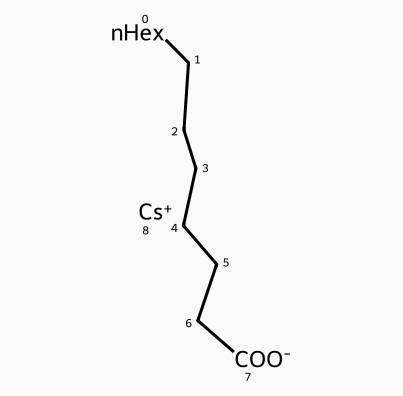 CCCCCCCCCCCCC(=O)[O-].[Cs+]